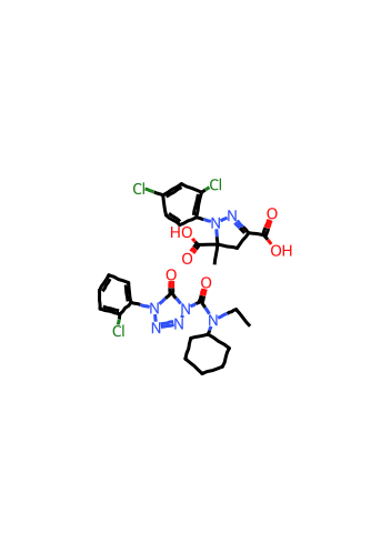 CC1(C(=O)O)CC(C(=O)O)=NN1c1ccc(Cl)cc1Cl.CCN(C(=O)n1nnn(-c2ccccc2Cl)c1=O)C1CCCCC1